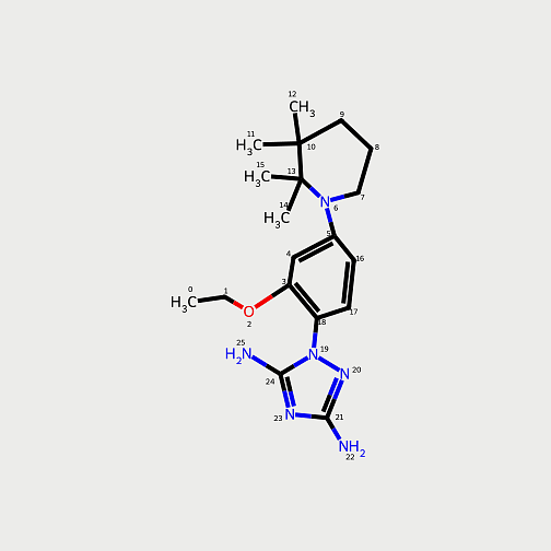 CCOc1cc(N2CCCC(C)(C)C2(C)C)ccc1-n1nc(N)nc1N